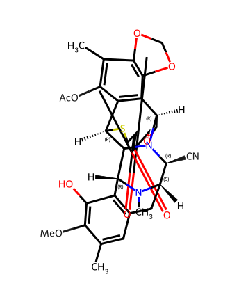 COc1c(C)cc2c(c1O)[C@@H]1C3[C@@H]4SCC(=O)C(=O)COC[C@@H](c5c6c(c(C)c(OC(C)=O)c54)OCO6)N3[C@@H](C#N)[C@H](C2)N1C